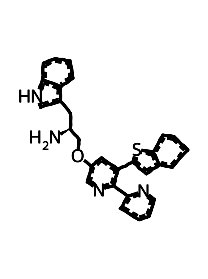 N[C@H](COc1cnc(-c2ccccn2)c(-c2cc3ccccc3s2)c1)Cc1c[nH]c2ccccc12